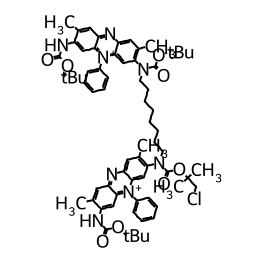 Cc1cc2nc3cc(C)c(N(CCCCCCCCN(C(=O)OC(C)(C)CCl)c4cc5c(cc4C)nc4cc(C)c(NC(=O)OC(C)(C)C)cc4[n+]5-c4ccccc4)C(=O)OC(C)(C)C)cc3[n+](-c3ccccc3)c2cc1NC(=O)OC(C)(C)C